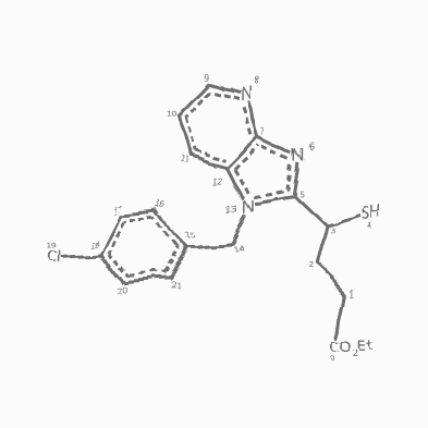 CCOC(=O)CCC(S)c1nc2ncccc2n1Cc1ccc(Cl)cc1